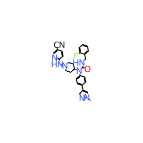 Cn1cc(-c2ccc(N(C(=O)NCc3ccccc3F)C3CCN(Nc4ccc(C#N)cn4)CC3)cc2)cn1